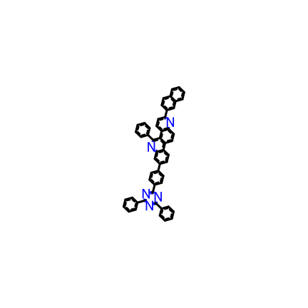 c1ccc(-c2nc(-c3ccccc3)nc(-c3ccc(-c4ccc5c(c4)nc(-c4ccccc4)c4c6ccc(-c7ccc8ccccc8c7)nc6ccc54)cc3)n2)cc1